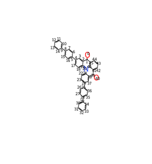 O=c1c2cc(-c3ccc(-c4ccccc4)cc3)ccc2n2c3ccc(-c4ccc(-c5ccccc5)cc4)cc3c(=O)c3cccc1c32